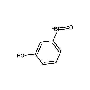 O=[SiH]c1cccc(O)c1